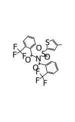 Cc1csc(S(=O)(=O)N(C(=O)c2ccccc2C(F)(F)F)C(=O)c2ccccc2C(F)(F)F)c1